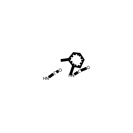 C=c1ccccc1=C.N=C=O.N=C=O